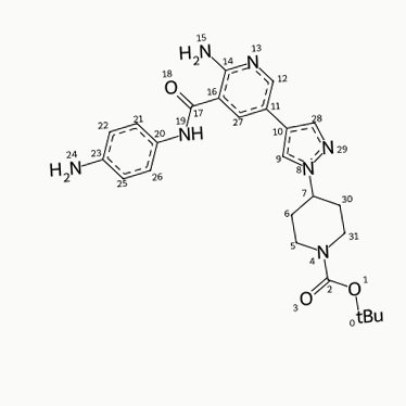 CC(C)(C)OC(=O)N1CCC(n2cc(-c3cnc(N)c(C(=O)Nc4ccc(N)cc4)c3)cn2)CC1